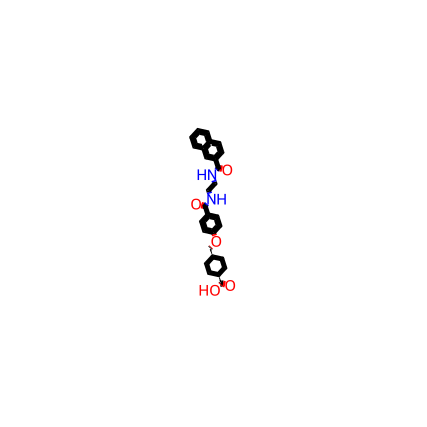 O=C(NCCNC(=O)c1ccc2ccccc2c1)c1ccc(OC[C@H]2CC[C@@H](C(=O)O)CC2)cc1